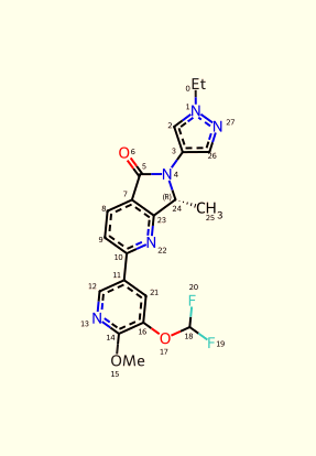 CCn1cc(N2C(=O)c3ccc(-c4cnc(OC)c(OC(F)F)c4)nc3[C@H]2C)cn1